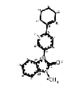 Cn1c(=O)n(-c2ccc(C3=CCCCC3)nc2)c2ccccc21